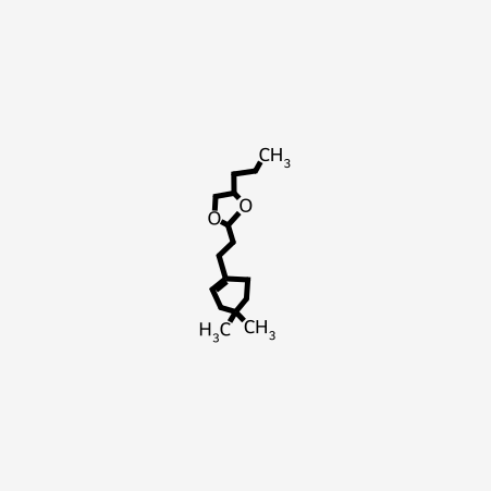 CCCC1COC(CCC2=CCC(C)(C)CC2)O1